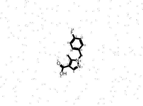 Cc1c(C(=O)O)cnn1Cc1ccc(F)cc1